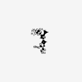 CC(C)(C)OC(=O)N(C[C@H]1C[C@H](n2cc(B3OC(C)(C)C(C)(C)O3)c(C3CC3)n2)C1)C(=O)OC(C)(C)C